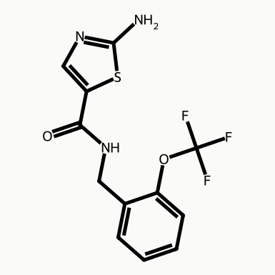 Nc1ncc(C(=O)NCc2ccccc2OC(F)(F)F)s1